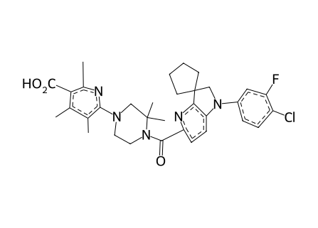 Cc1nc(N2CCN(C(=O)c3ccc4c(n3)C3(CCCC3)CN4c3ccc(Cl)c(F)c3)C(C)(C)C2)c(C)c(C)c1C(=O)O